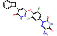 Nc1nn(-c2cc(Cl)c(Oc3cc([C@H]4Cc5ccccc54)c(=O)[nH]n3)c(Cl)c2)c(=O)[nH]c1=O